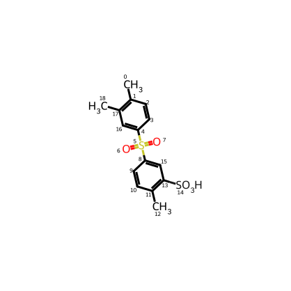 Cc1ccc(S(=O)(=O)c2ccc(C)c(S(=O)(=O)O)c2)cc1C